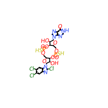 O=c1[nH]cnc2c1ncn2C1OC2COP(=O)(S)OC3C(COP(=O)(S)OC2C1O)OC(n1c(Cl)nc2cc(Cl)c(Cl)cc21)C3O